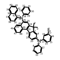 CC1(C)c2cc(N(c3ccccc3)c3cccc(F)c3)ccc2-c2c1cc(N(c1ccccc1)c1cccc3ccccc13)c1ccccc21